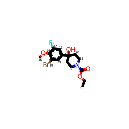 CCOC(=O)N1CCC(O)(c2cc(F)c(OC)c(Br)c2)CC1